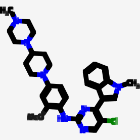 COc1cc(N2CCC(N3CCN(C)CC3)CC2)ccc1Nc1ncc(Cl)c(-c2cn(C)c3ccccc23)n1